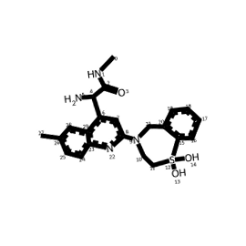 CNC(=O)C(N)c1cc(N2CCS(O)(O)c3ccccc3C2)nc2ccc(C)cc12